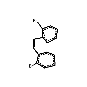 Brc1ccccc1/C=C\c1ccccc1Br